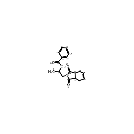 CC(CN1C(=O)C2CC=CCC2C1=O)OC(=O)c1ccccc1